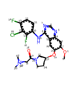 COc1cc2ncnc(Nc3ccc(F)c(Cl)c3F)c2cc1O[C@H]1CCN(C(=O)CN(C)C)C1